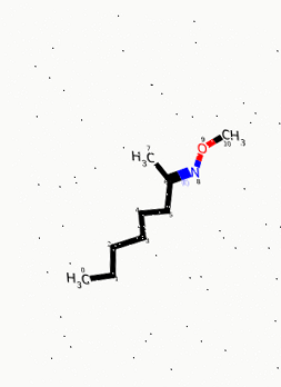 CCCCCC/C(C)=N/OC